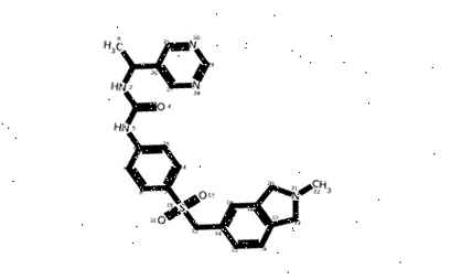 CC(NC(=O)Nc1ccc(S(=O)(=O)Cc2ccc3c(c2)CN(C)C3)cc1)c1cncnc1